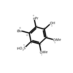 CCCc1c(O)c(OC)c(OC)c(S(=O)(=O)O)c1C(C)CC